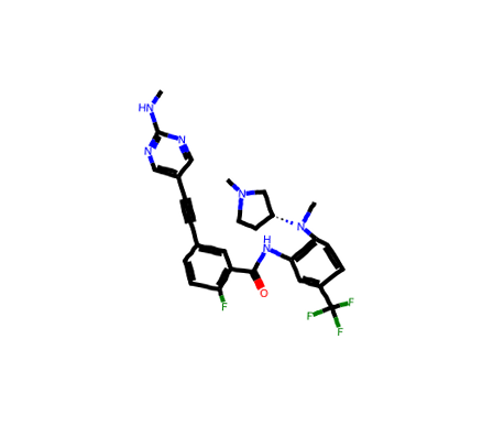 CNc1ncc(C#Cc2ccc(F)c(C(=O)Nc3cc(C(F)(F)F)ccc3N(C)[C@@H]3CCN(C)C3)c2)cn1